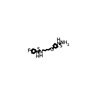 NC(=S)Nc1ccc(OCCCCCNC(=S)Nc2ccc(F)cc2)cc1